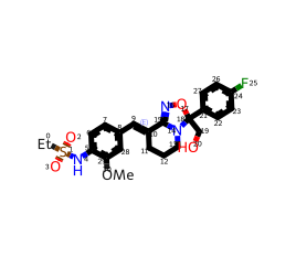 CCS(=O)(=O)Nc1ccc(/C=C2\CCCN3C2=NOC3(CO)c2ccc(F)cc2)cc1OC